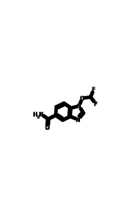 NC(=O)c1ccc2c(c1)ncn2OC(F)F